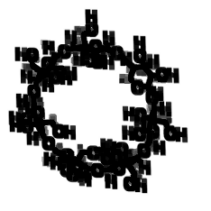 OCC1O[C@@H]2O[C@@H]3C(CO)O[C@H](O[C@@H]4C(CO)O[C@H](O[C@@H]5C(CO)O[C@H](O[C@@H]6CO[C@@H](O[C@@H]7C(CO)O[C@@H](O[C@@H]8C(CO)O[C@@H](O[C@H]1C(O)[C@@H]2O)[C@@H](O)C8O)[C@@H](O)C7O)C(O)[C@H]6O)C(O)[C@H]5O)C(O)[C@H]4O)[C@@H](O)C3O